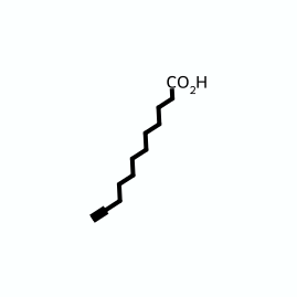 C#CCCCCCCCCCC(=O)O